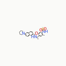 Cc1cc([C@@H](C)NC(=O)c2ccc3cc(N4CCCCC4)ccc3c2)ccc1NS(C)(=O)=O